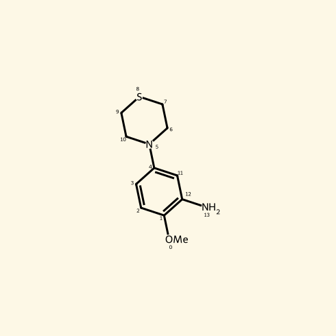 COc1ccc(N2CCSCC2)cc1N